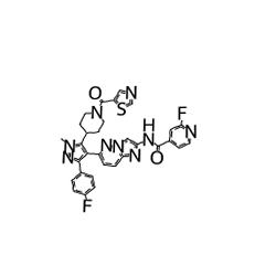 Cn1nc(-c2ccc(F)cc2)c(-c2ccc3nc(NC(=O)c4ccnc(F)c4)cn3n2)c1C1CCN(C(=O)c2cncs2)CC1